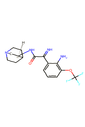 N=C(C(=O)N[C@@H]1CN2CCC1CC2)c1cccc(OC(F)(F)F)c1N